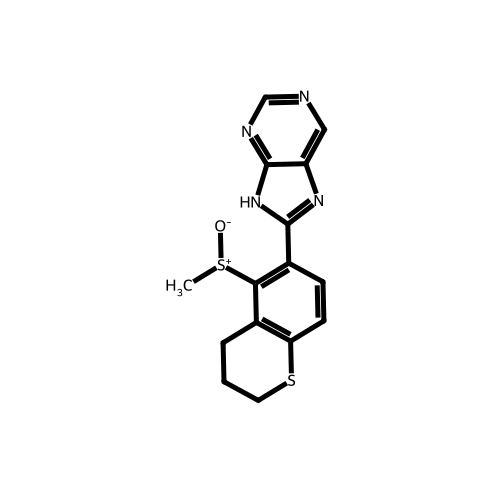 C[S+]([O-])c1c(-c2nc3cncnc3[nH]2)ccc2c1CCCS2